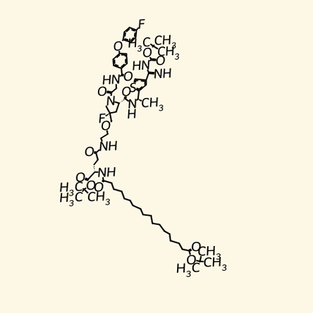 C[C@@H](NC(=O)[C@@H]1C[C@](F)(COCCNC(=O)CC[C@H](NC(=O)CCCCCCCCCCCCCCCCC(=O)OC(C)(C)C)C(=O)OC(C)(C)C)CN1C(=O)CNC(=O)c1ccc(Oc2ccc(F)cc2)cc1)c1cc(C(=N)NC(=O)OC(C)(C)C)cs1